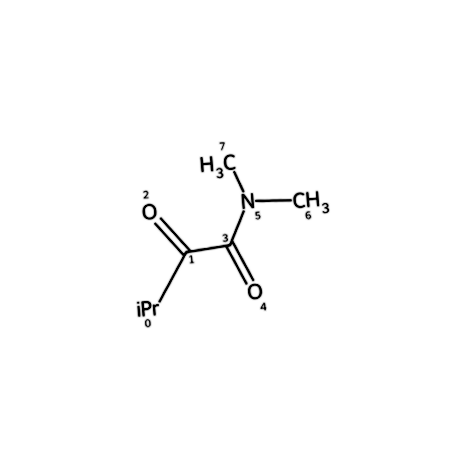 CC(C)C(=O)C(=O)N(C)C